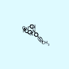 CN1CCN(c2ccc(Nc3cc4c(cn3)cnc(=O)n4Cc3ccncc3)cc2)CC1